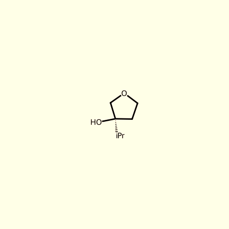 CC(C)[C@@]1(O)CCOC1